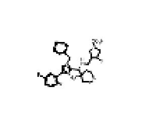 CC1([C@@H](NCC2CN(C(=O)O)CC2F)c2nc(-c3cc(F)ccc3F)cn2Cc2ccccc2)CCOCC1